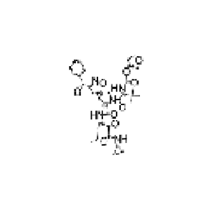 CCC[C@H](NC(=O)[C@@H]1C[C@]2(CC(C(=O)c3ccccc3)=NO2)CN1C(=O)[C@@H](NC(=O)O[C@H]1CCOC1)C(C)(C)C)C(=O)C(=O)NC1CC1